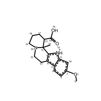 COc1ccc2c3c([nH]c2c1)C1(C)C(C(=O)O)CCCN1CC3